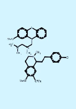 COc1cc2c(cc1OC)C(CCc1ccc(Cl)cc1)N(C)CC2.COc1ccc2c(c1)N(C[C@H](C)CN(C)C)c1ccccc1S2